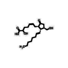 CCCCCC/C=C/[C@H]1[C@H](CO)CC(=O)[C@@H]1C/C=C\CCC(O)C(=O)O